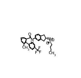 CCCCS(=O)(=O)NC1Cc2ccc(NC(=O)c3cccc(C)c3-c3ccc(C(F)(F)F)cc3)cc2C1